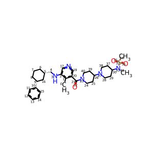 Cc1c(NC[C@H]2CCC[C@@H](c3ccccc3)C2)cncc1C(=O)N1CCC(N2CCC(N(C)S(C)(=O)=O)CC2)CC1